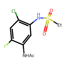 CCS(=O)(=O)Nc1cc(NC(C)=O)c(F)cc1Cl